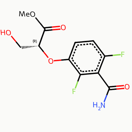 COC(=O)[C@@H](CO)Oc1ccc(F)c(C(N)=O)c1F